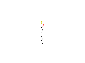 CCCCCCCCOSI